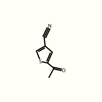 CC(=O)c1cc(C#N)cs1